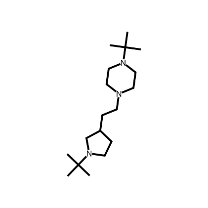 CC(C)(C)N1CCN(CCC2CCN(C(C)(C)C)C2)CC1